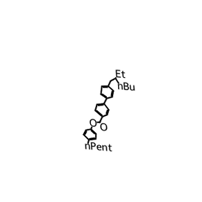 CCCCCc1ccc(OC(=O)c2ccc(-c3ccc(CC(CC)CCCC)cc3)cc2)cc1